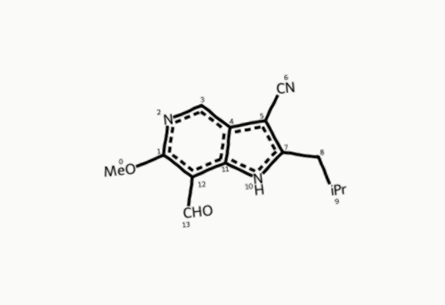 COc1ncc2c(C#N)c(CC(C)C)[nH]c2c1C=O